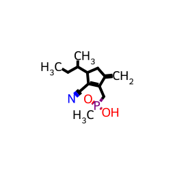 C=C1CC(C(C)CC)C(C#N)=C1CP(C)(=O)O